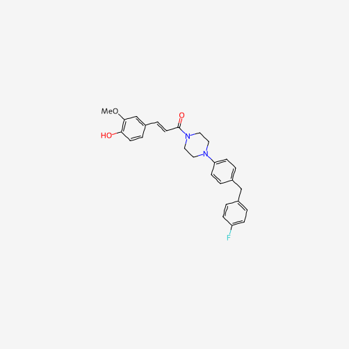 COc1cc(C=CC(=O)N2CCN(c3ccc(Cc4ccc(F)cc4)cc3)CC2)ccc1O